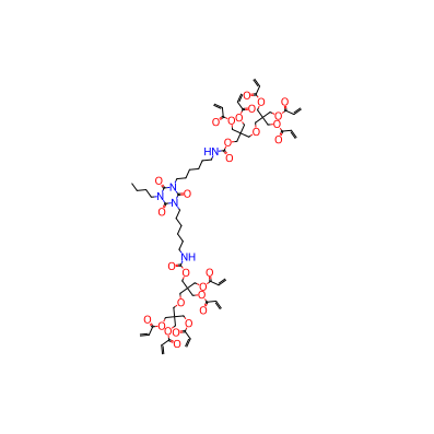 C=CC(=O)OCC(COCC(COC(=O)C=C)(COC(=O)C=C)COC(=O)NCCCCCCn1c(=O)n(CCCC)c(=O)n(CCCCCCNC(=O)OCC(COCC(COC(=O)C=C)(COC(=O)C=C)COC(=O)C=C)(COC(=O)C=C)COC(=O)C=C)c1=O)(COC(=O)C=C)COC(=O)C=C